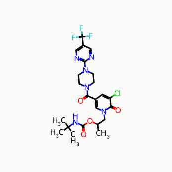 CC(Cn1cc(C(=O)N2CCN(c3ncc(C(F)(F)F)cn3)CC2)cc(Cl)c1=O)OC(=O)NC(C)(C)C